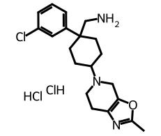 Cc1nc2c(o1)CN(C1CCC(CN)(c3cccc(Cl)c3)CC1)CC2.Cl.Cl